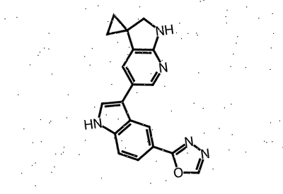 c1nnc(-c2ccc3[nH]cc(-c4cnc5c(c4)C4(CC4)CN5)c3c2)o1